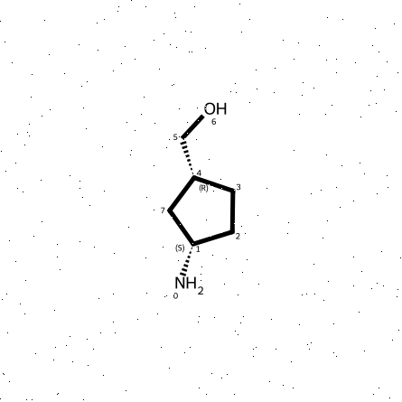 N[C@H]1CC[C@@H](CO)C1